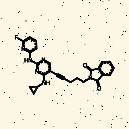 O=C1c2ccccc2C(=O)N1CCCC#Cc1cnc(Nc2cccc(F)n2)nc1NC1CC1